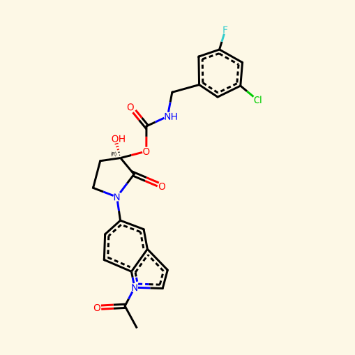 CC(=O)n1ccc2cc(N3CC[C@@](O)(OC(=O)NCc4cc(F)cc(Cl)c4)C3=O)ccc21